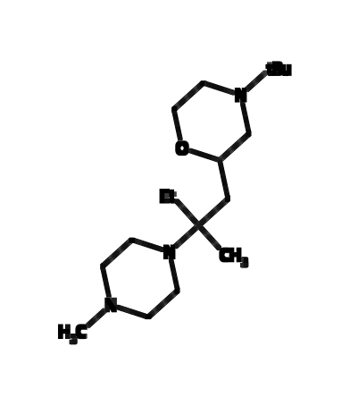 CCC(C)(CC1CN(C(C)(C)C)CCO1)N1CCN(C)CC1